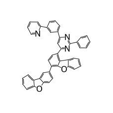 c1ccc(-c2nc(-c3cccc(-c4ccccn4)c3)cc(-c3ccc(-c4ccc5oc6ccccc6c5c4)c4oc5ccccc5c34)n2)cc1